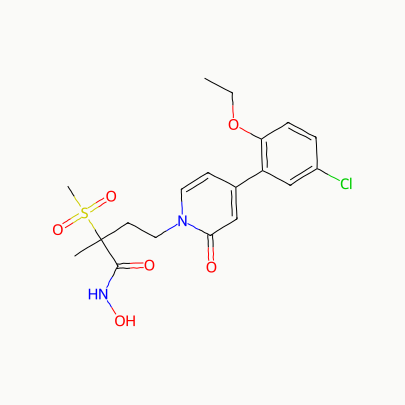 CCOc1ccc(Cl)cc1-c1ccn(CCC(C)(C(=O)NO)S(C)(=O)=O)c(=O)c1